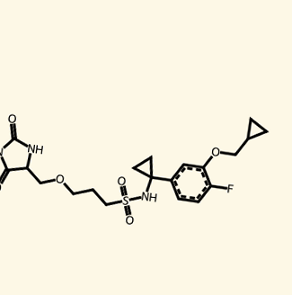 O=C1NC(=O)C(COCCCS(=O)(=O)NC2(c3ccc(F)c(OCC4CC4)c3)CC2)N1